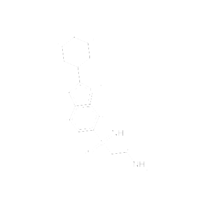 N=S(=O)(CCN)c1ccc2cc(C3CCCCC3)oc2c1